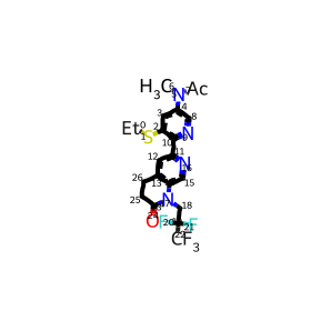 CCSc1cc(N(C)C(C)=O)cnc1-c1cc2c(cn1)N(CC(F)(F)C(F)(F)F)C(=O)CC2